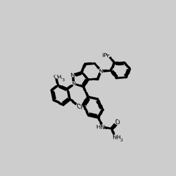 Cc1cccc(C)c1-n1nc2c(c1-c1ccc(NC(N)=O)cc1)CN(c1ccccc1C(C)C)CC2